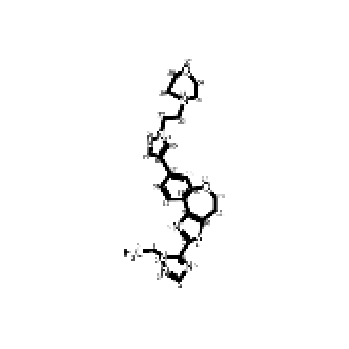 FC(F)(F)Cn1ncnc1-c1nc2c(s1)CCOc1cc(-c3cnn(CCN4CCOCC4)c3)ccc1-2